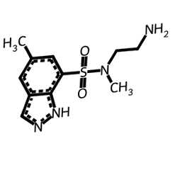 Cc1cc(S(=O)(=O)N(C)CCN)c2[nH]ncc2c1